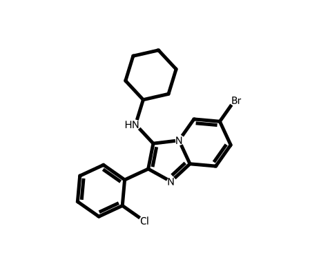 Clc1ccccc1-c1nc2ccc(Br)cn2c1NC1CCCCC1